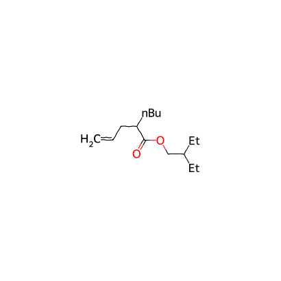 C=CCC(CCCC)C(=O)OCC(CC)CC